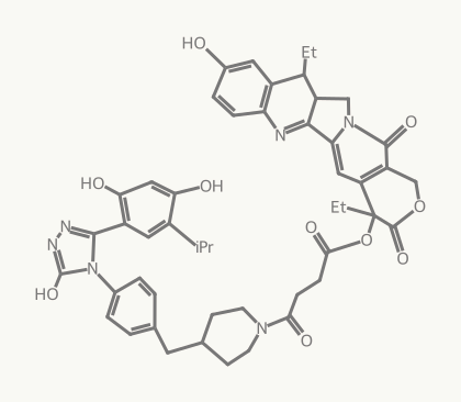 CCC1c2cc(O)ccc2N=C2c3cc4c(c(=O)n3CC21)COC(=O)C4(CC)OC(=O)CCC(=O)N1CCC(Cc2ccc(-n3c(O)nnc3-c3cc(C(C)C)c(O)cc3O)cc2)CC1